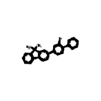 CC1(C)c2ccccc2-c2ccc(-c3ccc(-c4ccccc4)c(Br)c3)cc21